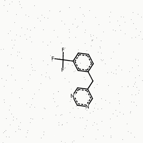 FC(F)(F)c1cccc(Cc2cncnc2)c1